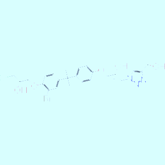 CC(C)(c1ccc(OC[C@H](O)Cn2cc(CO)nn2)cc1)c1ccc(OC[C@H](O)CCl)c(Br)c1